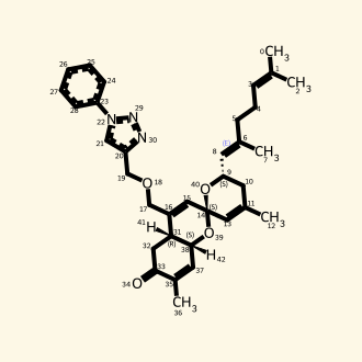 CC(C)=CCC/C(C)=C/[C@@H]1CC(C)=C[C@]2(C=C(COCc3cn(-c4ccccc4)nn3)[C@H]3CC(=O)C(C)=C[C@H]3O2)O1